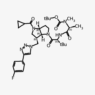 C[C@@H](C(=O)N[C@H](C(=O)N1CC[C@@H]2[C@H]1[C@@H](Cn1cc(-c3ccc(F)cc3)nn1)CN2C(=O)C1CC1)C(C)(C)C)N(C)C(=O)OC(C)(C)C